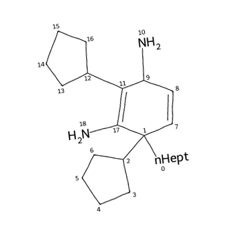 CCCCCCCC1(C2CCCC2)C=CC(N)C(C2CCCC2)=C1N